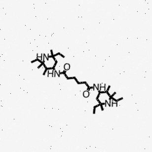 CCC1(C)CC(NC(=O)CCCCC(=O)NC2CC(C)(CC)NC(C)(CC)C2C)C(C)C(C)(CC)N1